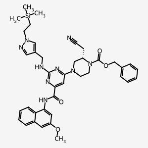 COc1cc(NC(=O)c2cc(N3CCN(C(=O)OCc4ccccc4)[C@@H](CC#N)C3)nc(NCc3cnn(CC[Si](C)(C)C)c3)n2)c2ccccc2c1